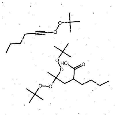 CCCCC#COOC(C)(C)C.CCCCC(CC(C)(OOC(C)(C)C)OOC(C)(C)C)C(=O)O